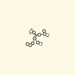 CC1(C)CCC(C)(C)c2cc(N(c3ccc(-c4cc5c(c6ccccc46)CCC=C5)cc3)c3ccc(-c4ccc5ccc6ccccc6c5c4)c(-c4ccc5c(c4)C=CCC5)c3)ccc21